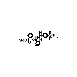 COC(=O)c1ccccc1Sc1nc(Nc2ccc([SH](N)(=O)F)cc2)nc2ccsc12